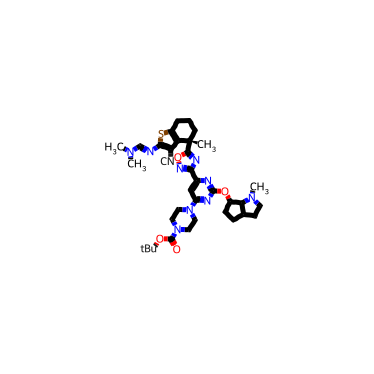 CN(C)/C=N/c1sc2c(c1C#N)[C@@](C)(c1nc(-c3cc(N4CCN(C(=O)OC(C)(C)C)CC4)nc(OC4CCC5CCN(C)C54)n3)no1)CCC2